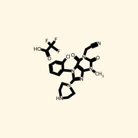 Cn1c(=O)n(CC#N)c(=O)c2c1nc(N1CCNCC1)n2-c1ccccc1Cl.O=C(O)C(F)(F)F